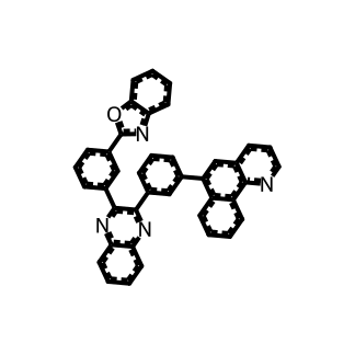 c1cc(-c2nc3ccccc3o2)cc(-c2nc3ccccc3nc2-c2cccc(-c3cc4cccnc4c4ccccc34)c2)c1